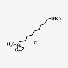 CCCCCCCCCCCCCCCCCC[N+]1(C)CCO1.[Cl-]